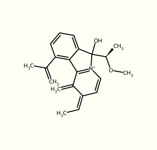 C=C(C)c1cccc2c1-c1c(=C)/c(=C\C)cc[n+]1C2(O)[C@@H](C)OC